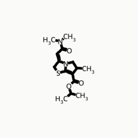 CC(C)OC(=O)C1=C2SC/C(=C/C(=O)N(C)C)N2CC1C